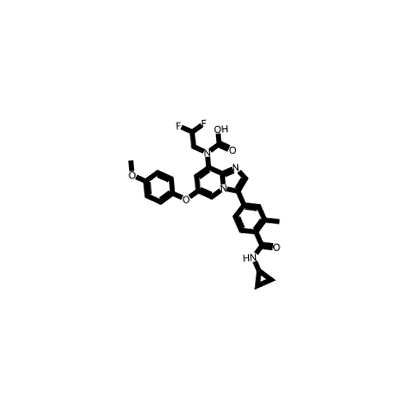 COc1ccc(Oc2cc(N(CC(F)F)C(=O)O)c3ncc(-c4ccc(C(=O)NC5CC5)c(C)c4)n3c2)cc1